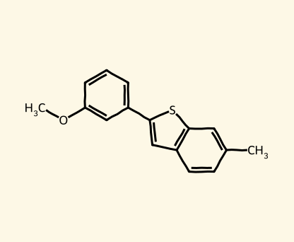 COc1cccc(-c2cc3ccc(C)cc3s2)c1